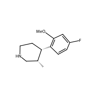 COc1cc(F)ccc1[C@H]1CCNC[C@H]1C